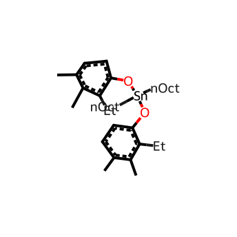 CCCCCCC[CH2][Sn]([CH2]CCCCCCC)([O]c1ccc(C)c(C)c1CC)[O]c1ccc(C)c(C)c1CC